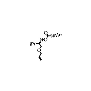 C=CCOCC(=NOC(=O)NC)C(C)C